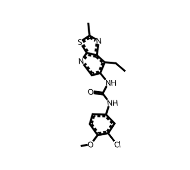 CCc1c(NC(=O)Nc2ccc(OC)c(Cl)c2)cnc2sc(C)nc12